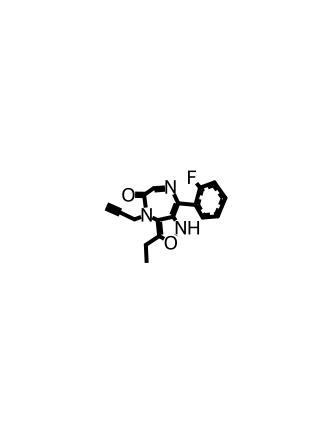 C#CCN1C(=O)C=NC(c2ccccc2F)=C2NOC(CC)=C21